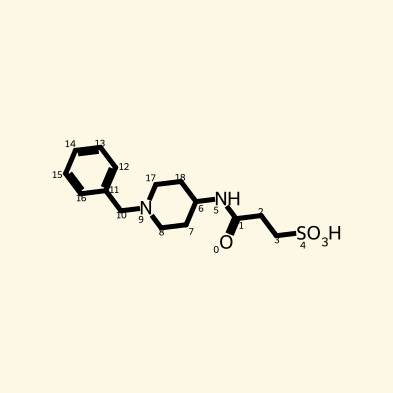 O=C(CCS(=O)(=O)O)NC1CCN(Cc2ccccc2)CC1